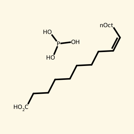 CCCCCCCC/C=C\CCCCCCCC(=O)O.OP(O)O